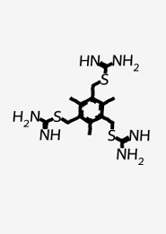 Cc1c(CSC(=N)N)c(C)c(CSC(=N)N)c(C)c1CSC(=N)N